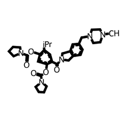 CC(C)c1cc(C(=O)N2Cc3ccc(CN4CCN(C)CC4)cc3C2)c(OC(=O)N2CCCC2)cc1OC(=O)N1CCCC1